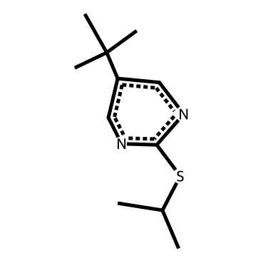 CC(C)Sc1ncc(C(C)(C)C)cn1